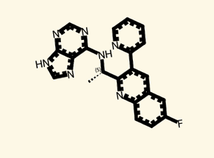 C[C@H](Nc1ncnc2[nH]cnc12)c1nc2ccc(F)cc2cc1-c1ccccn1